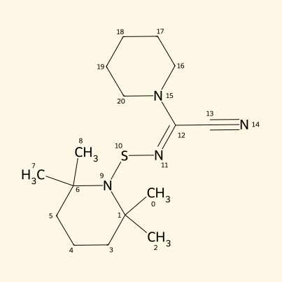 CC1(C)CCCC(C)(C)N1SN=C(C#N)N1CCCCC1